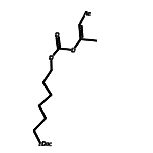 CCCCCCCCCCCCCCCCOC(=O)OC(C)=CC(C)=O